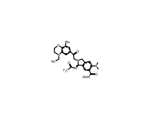 CNC(=O)c1cc2c(cc1N(C)C)CN(CC(=O)c1cc3c(c(C(C)(C)C)c1)OCCN3CC#N)/C2=N\C(=O)C(F)(F)F